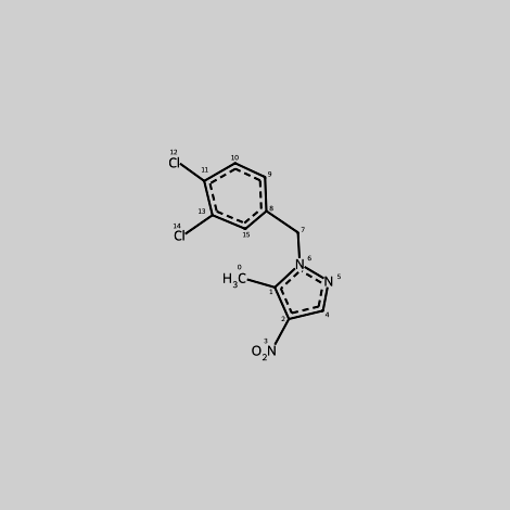 Cc1c([N+](=O)[O-])cnn1Cc1ccc(Cl)c(Cl)c1